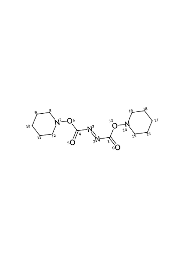 O=C(N=NC(=O)ON1CCCCC1)ON1CCCCC1